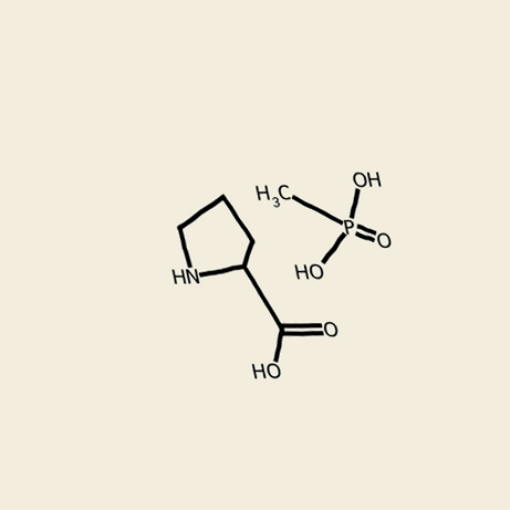 CP(=O)(O)O.O=C(O)C1CCCN1